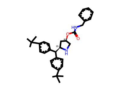 CC(C)(C)c1ccc(C(c2ccc(C(C)(C)C)cc2)[C@H]2C[C@@H](OC(=O)NCc3ccccc3)CN2)cc1